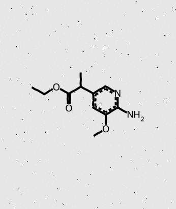 CCOC(=O)C(C)c1cnc(N)c(OC)c1